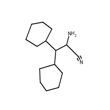 N#CC(N)C(C1CCCCC1)C1CCCCC1